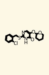 O=c1[nH]c(SCc2ccccc2Cl)ncc1OC1CCCCO1